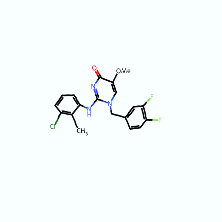 COc1cn(Cc2ccc(F)c(F)c2)c(Nc2cccc(Cl)c2C)nc1=O